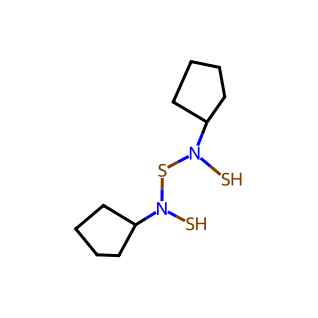 SN(SN(S)C1CCCC1)C1CCCC1